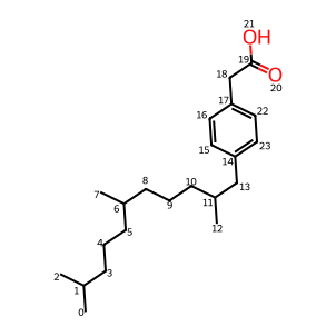 CC(C)CCCC(C)CCCC(C)Cc1ccc(CC(=O)O)cc1